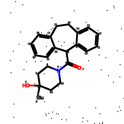 CC(C)(C)C1(O)CCN(C(=O)C2c3ccccc3CCc3ccccc32)CC1